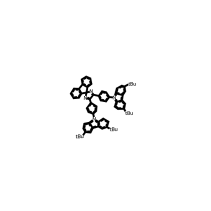 CC(C)(C)c1ccc2c(c1)c1cc(C(C)(C)C)ccc1n2-c1ccc(C2=NC3(N=C2c2ccc(-n4c5ccc(C(C)(C)C)cc5c5cc(C(C)(C)C)ccc54)cc2)c2ccccc2-c2ccccc23)cc1